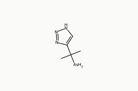 CC(C)([AsH2])c1c[nH]nn1